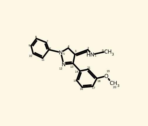 CNC=C1CN(c2ccccc2)N=C1c1cccc(OC)c1